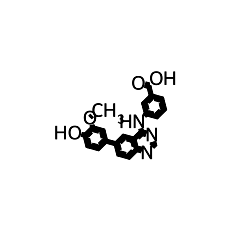 COc1cc(-c2ccc3ncnc(Nc4cccc(C(=O)O)c4)c3c2)ccc1O